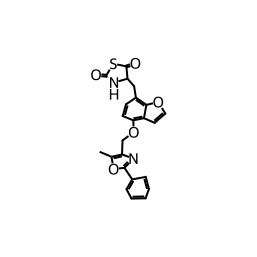 Cc1oc(-c2ccccc2)nc1COc1ccc(CC2NC(=O)SC2=O)c2occc12